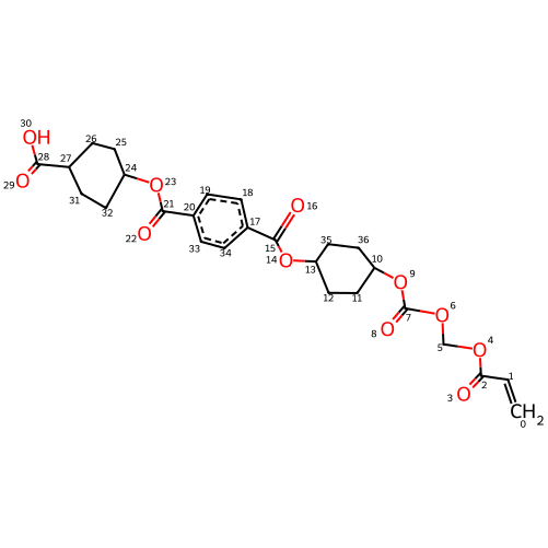 C=CC(=O)OCOC(=O)OC1CCC(OC(=O)c2ccc(C(=O)OC3CCC(C(=O)O)CC3)cc2)CC1